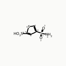 NS(=O)(=O)c1csc(S(=O)(=O)O)c1